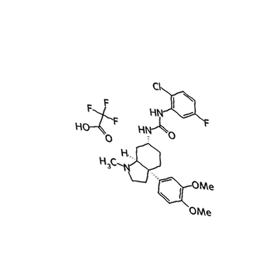 COc1ccc([C@@]23CC[C@@H](NC(=O)Nc4cc(F)ccc4Cl)C[C@@H]2N(C)CC3)cc1OC.O=C(O)C(F)(F)F